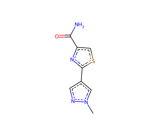 Cn1cc(-c2nc(C(N)=O)cs2)cn1